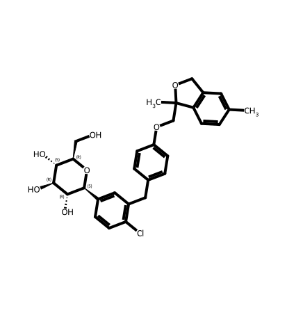 Cc1ccc2c(c1)COC2(C)COc1ccc(Cc2cc([C@@H]3O[C@H](CO)[C@@H](O)[C@H](O)[C@H]3O)ccc2Cl)cc1